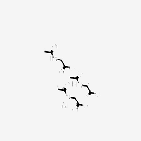 CC(=O)NCC(=O)[O-].CC(=O)NCC(=O)[O-].CC(=O)NCC(=O)[O-].[Al+3]